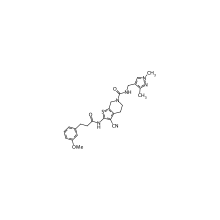 COc1cccc(CCC(=O)Nc2sc3c(c2C#N)CCN(C(=O)NCc2cn(C)nc2C)C3)c1